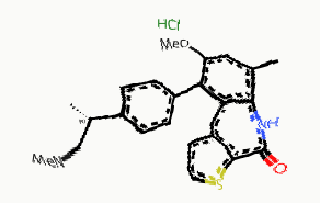 CNC[C@H](C)c1ccc(-c2c(OC)cc(C)c3[nH]c(=O)c4sccc4c23)cc1.Cl